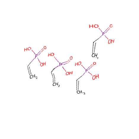 C=CP(=O)(O)O.C=CP(=O)(O)O.C=CP(=O)(O)O.C=CP(=O)(O)O